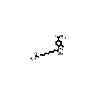 CC(C)(C)C(CCCCCCCOC(N)=O)n1ncc2cc(C(N)=O)ccc21